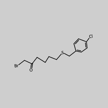 O=C(CBr)CCCCSCc1ccc(Cl)cc1